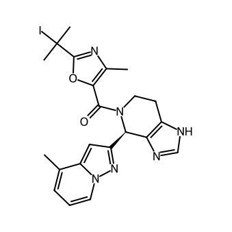 Cc1nc(C(C)(C)I)oc1C(=O)N1CCc2[nH]cnc2[C@H]1c1cc2c(C)cccn2n1